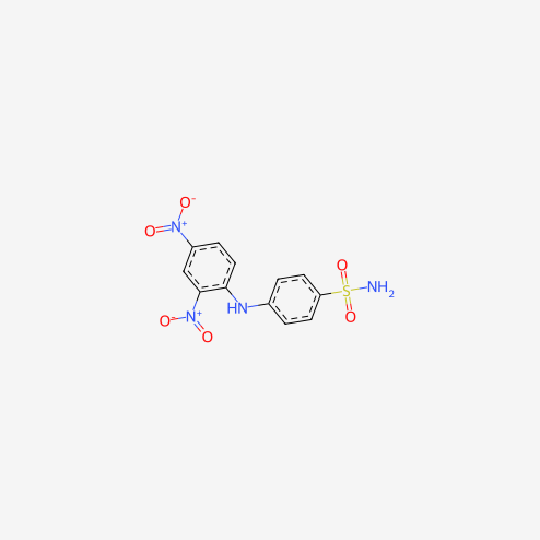 NS(=O)(=O)c1ccc(Nc2ccc([N+](=O)[O-])cc2[N+](=O)[O-])cc1